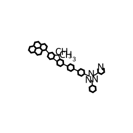 CC1(C)c2cc(-c3ccc(-c4ccc(-c5nc(-c6ccccc6)nc(-c6cccnc6)n5)cc4)cc3)ccc2-c2ccc(-c3ccc4ccc5cccc6ccc3c4c56)cc21